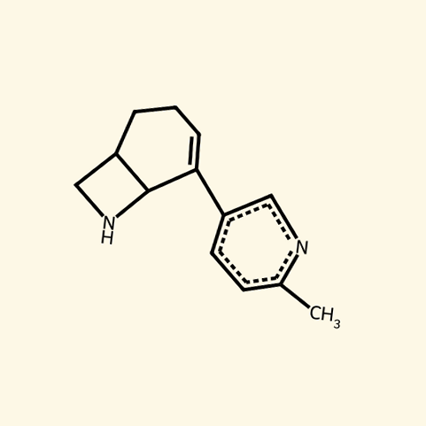 Cc1ccc(C2=CCCC3CNC23)cn1